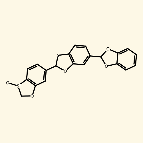 [O-][S+]1COc2cc(C3Oc4cc(C5Oc6ccccc6O5)ccc4S3)ccc21